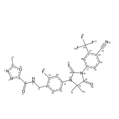 Cc1nnc(C(=O)NCc2ccc(N3C(=S)N(c4ccc(C#N)c(C(F)(F)F)c4)C(=O)C3(C)C)cc2F)o1